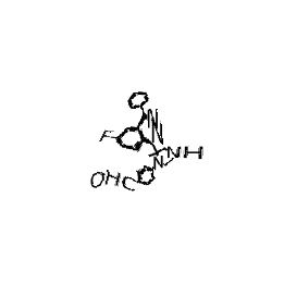 CC1(c2nnc(-c3ccccc3)c3cc(F)ccc23)CNCCN1c1ccc(C=O)cc1